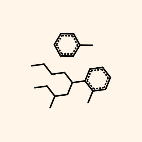 CCCCC(CC(C)CC)c1ccccc1C.Cc1ccccc1